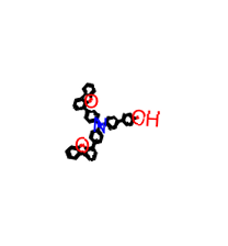 Oc1ccc(-c2ccc(N(c3ccc(-c4cccc5c4oc4ccccc45)cc3)c3ccc(-c4cccc5c4oc4ccccc45)cc3)cc2)cc1